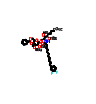 CCCCCCCCCCCCCC[C@@H](OCCCC)[C@@H](OCCCC)[C@H](CO[C@H]1OC2COC(c3ccccc3)O[C@@H]2[C@H](OCCCC)C1OCCCC)NC(=O)CCCCCCCCCCc1ccc(F)c(F)c1